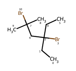 CCC(Br)(CC)CC(C)(C)Br